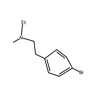 CCN(C)CCc1ccc(Br)cc1